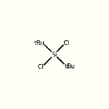 CC(C)(C)[Si](Cl)(Cl)C(C)(C)C